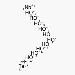 [F].[Nb+5].[OH-].[OH-].[OH-].[OH-].[OH-].[OH-].[OH-].[OH-].[OH-].[OH-].[Ta+5]